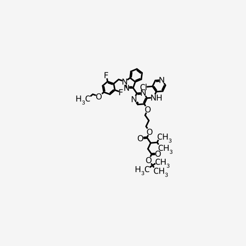 CCOc1cc(F)c(Cn2nc(-c3ncc(OCCCOC(=O)C(CC(=O)OC(C)(C)C)C(C)C)c(Nc4ccncc4Cl)n3)c3ccccc32)c(F)c1